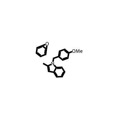 COc1ccc(Cn2c(C)cc3ccccc32)cc1.c1ccc2c(c1)O2